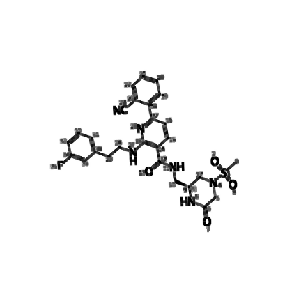 CS(=O)(=O)N1CC(=O)N[C@@H](CNC(=O)c2ccc(-c3ccccc3C#N)nc2NCCc2cccc(F)c2)C1